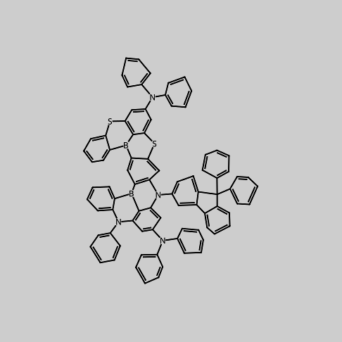 c1ccc(N(c2ccccc2)c2cc3c4c(c2)Sc2cc5c(cc2B4c2ccccc2S3)B2c3ccccc3N(c3ccccc3)c3cc(N(c4ccccc4)c4ccccc4)cc(c32)N5c2ccc3c(c2)-c2ccccc2C3(c2ccccc2)c2ccccc2)cc1